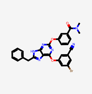 CN(C)C(=O)c1cccc(Oc2nc(Oc3cc(Br)cc(C#N)c3)c3nc(Cc4ccccc4)[nH]c3n2)c1